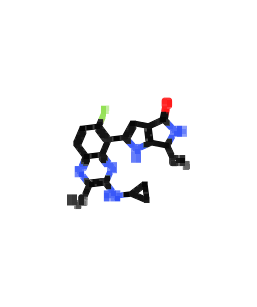 Cc1nc2ccc(F)c(-c3cc4c([nH]3)C(C)NC4=O)c2nc1NC1CC1